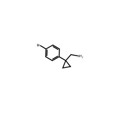 NCC1(c2ccc(Br)cc2)CC1